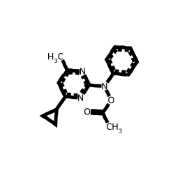 CC(=O)ON(c1ccccc1)c1nc(C)cc(C2CC2)n1